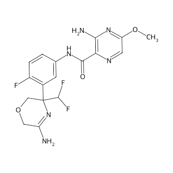 COc1cnc(C(=O)Nc2ccc(F)c(C3(C(F)F)COCC(N)=N3)c2)c(N)n1